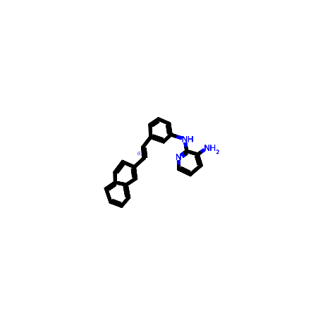 Nc1cccnc1Nc1cccc(/C=C/c2ccc3ccccc3c2)c1